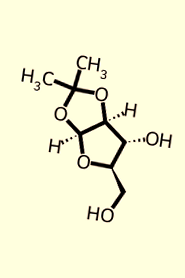 CC1(C)O[C@@H]2O[C@H](CO)[C@@H](O)[C@@H]2O1